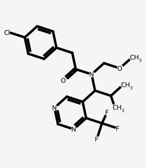 COCN(C(=O)Cc1ccc(Cl)cc1)C(c1cncnc1C(F)(F)F)C(C)C